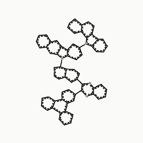 c1ccc2cc3c(cc2c1)c1cc(-n2c4ccccc4c4ccc5ccccc5c42)ccc1n3-c1cccc2cc(-c3nc4ccccc4nc3-c3ccc4c5ccccc5c5ccccc5c4c3)ccc12